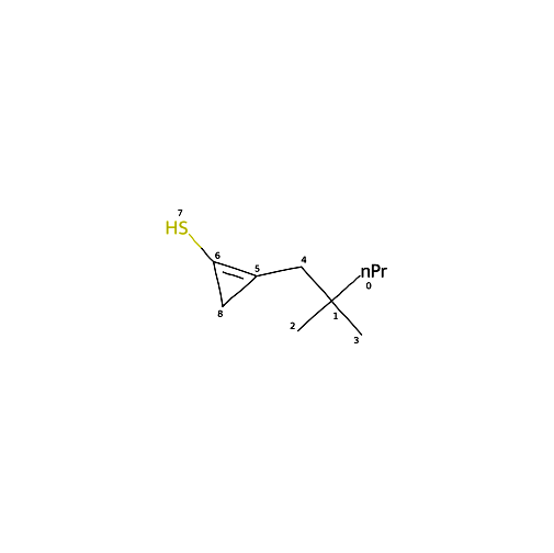 CCCC(C)(C)CC1=C(S)C1